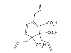 C=CCC1=C(C(=O)O)C(CC=C)(C(=O)O)C(CC=C)(C(=O)O)C=C1